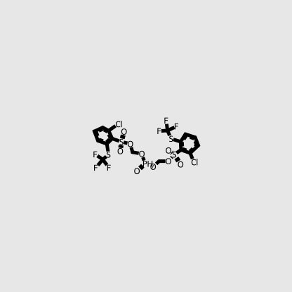 O=[PH](OCOS(=O)(=O)c1c(Cl)cccc1SC(F)(F)F)OCOS(=O)(=O)c1c(Cl)cccc1SC(F)(F)F